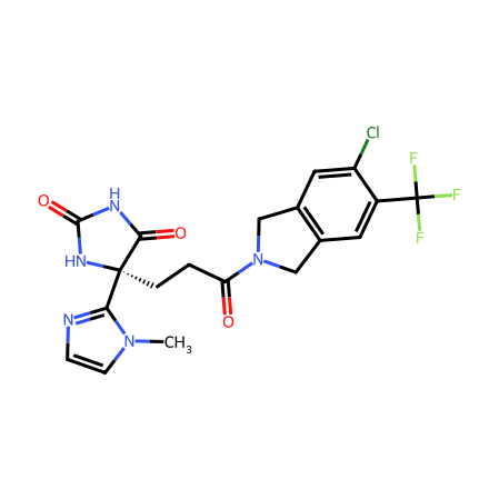 Cn1ccnc1[C@@]1(CCC(=O)N2Cc3cc(Cl)c(C(F)(F)F)cc3C2)NC(=O)NC1=O